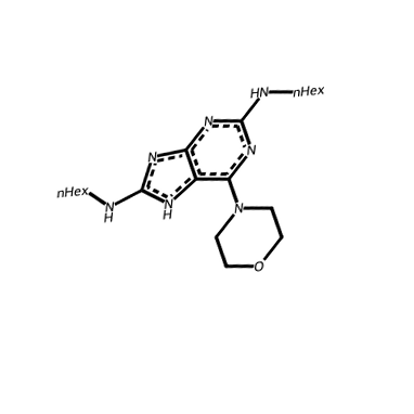 CCCCCCNc1nc(N2CCOCC2)c2[nH]c(NCCCCCC)nc2n1